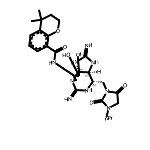 CCCN1CC(=O)N(C[C@@H]2NC(=N)N3CC(NC(=O)c4cccc5c4OCCC5(C)C)C(O)(O)[C@@]34NC(=N)N[C@@H]24)C1=O